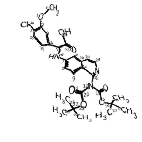 COc1cc(C(Nc2ccc3c(N(C(=O)OC(C)(C)C)C(=O)OC(C)(C)C)nccc3c2)C(=O)O)ccc1Cl